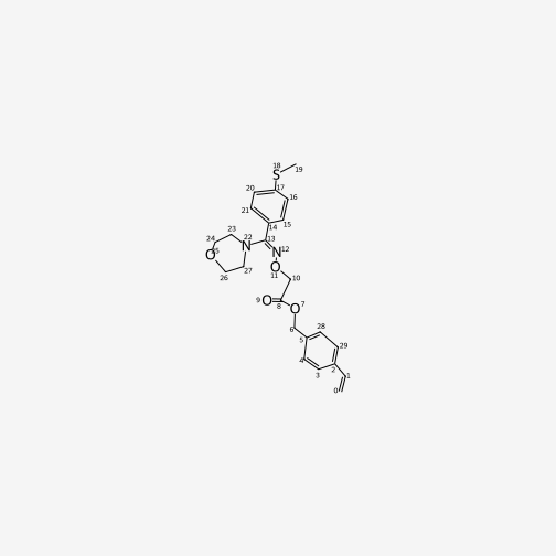 C=Cc1ccc(COC(=O)CO/N=C(/c2ccc(SC)cc2)N2CCOCC2)cc1